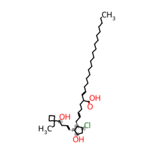 CCCCCCCCCCCCCCCCCCC=CC(CCC=CC[C@@H]1[C@@H](C=CC[C@H](O)C2(CC)CCC2)[C@H](O)C[C@H]1Cl)C(=O)O